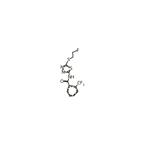 O=C(Nc1nnc(SCCF)s1)c1ccccc1C(F)(F)F